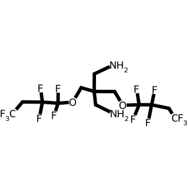 NCC(CN)(COC(F)(F)C(F)(F)CC(F)(F)F)COC(F)(F)C(F)(F)CC(F)(F)F